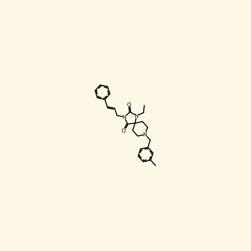 CCN1C(=O)N(C/C=C/c2ccccc2)C(=O)C12CCN(Cc1cccc(C)c1)CC2